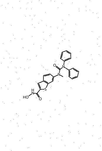 CN(C(=O)N(c1ccccc1)c1ccccc1)c1ccc2cc(C(=O)NO)sc2c1